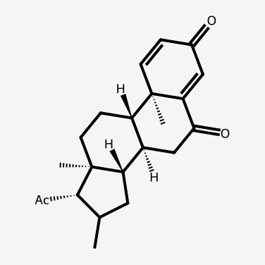 CC(=O)[C@H]1C(C)C[C@H]2[C@@H]3CC(=O)C4=CC(=O)C=C[C@]4(C)[C@H]3CC[C@]12C